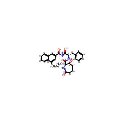 COc1cc(C(=O)NC(=O)[C@H](Cc2ccccc2)NC(=O)[C@]2(C)NC(=O)CCCC2=O)cc2ccccc12